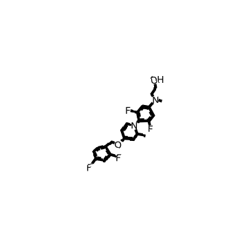 CC1C=C(OCc2ccc(F)cc2F)C=CN1c1c(F)cc(N(C)CCO)cc1F